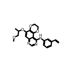 C=Cc1cccc(Nc2ncnc3cc(OC(C)COC)c4c(c23)OCCO4)c1